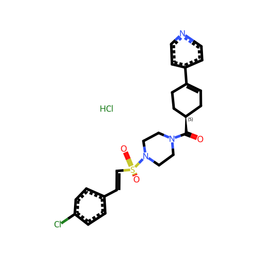 Cl.O=C([C@@H]1CC=C(c2ccncc2)CC1)N1CCN(S(=O)(=O)C=Cc2ccc(Cl)cc2)CC1